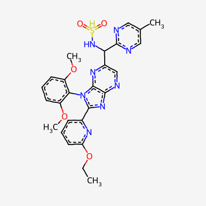 CCOc1cccc(-c2nc3ncc(C(N[SH](=O)=O)c4ncc(C)cn4)nc3n2-c2c(OC)cccc2OC)n1